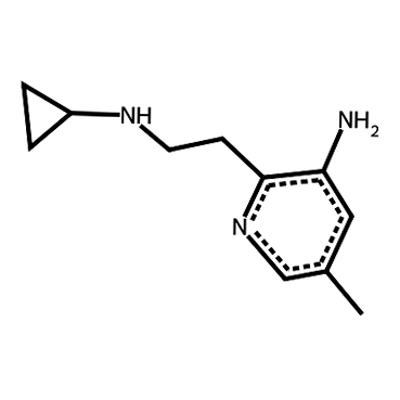 Cc1cnc(CCNC2CC2)c(N)c1